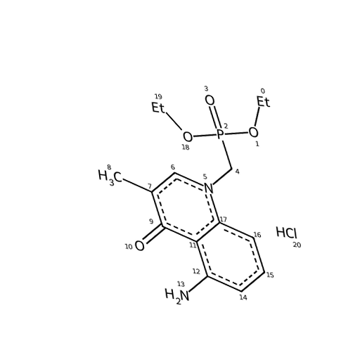 CCOP(=O)(Cn1cc(C)c(=O)c2c(N)cccc21)OCC.Cl